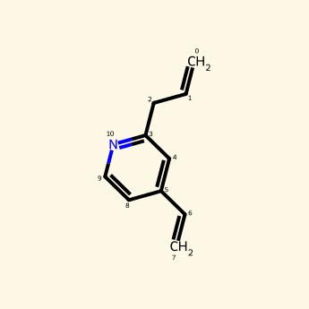 C=CCc1cc(C=C)ccn1